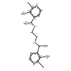 Cc1nccc(C(O)SCCSC(O)c2ccnc(C)c2O)c1O